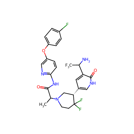 CC(C(=O)Nc1ccc(Oc2ccc(F)cc2)cn1)N1CCC(F)(F)[C@@H](c2c[nH]c(=O)c(C(N)C(F)(F)F)c2)C1